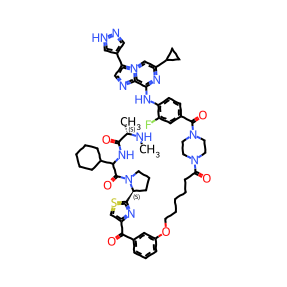 CN[C@@H](C)C(=O)NC(C(=O)N1CCC[C@H]1c1nc(C(=O)c2cccc(OCCCCCC(=O)N3CCN(C(=O)c4ccc(Nc5nc(C6CC6)cn6c(-c7cn[nH]c7)cnc56)c(F)c4)CC3)c2)cs1)C1CCCCC1